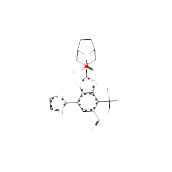 O=Cc1cc(-c2nccs2)c2oc(N3CC4CCC(C3)N4C(=O)O)nc2c1C(F)(F)F